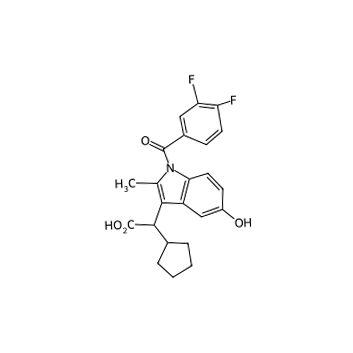 Cc1c(C(C(=O)O)C2CCCC2)c2cc(O)ccc2n1C(=O)c1ccc(F)c(F)c1